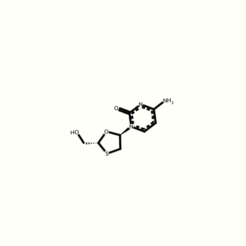 Nc1ccn([C@H]2CS[C@H](CO)O2)c(=O)n1